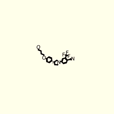 N#Cc1ccc(N2CC[C@H](c3ccc(OCCCC=O)cc3)C2)cc1C(F)(F)F